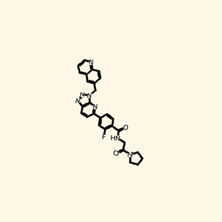 O=C(NCC(=O)N1CCCC1)c1ccc(-c2ccc3nnn(Cc4ccc5ncccc5c4)c3n2)cc1F